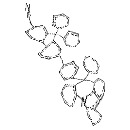 N#Cc1ccc2c(c1)C(c1ccccc1)(c1ccccc1)c1cc(-c3ccc(C4(c5ccccc5)c5ccccc5-n5c6ccccc6c6cccc4c65)cc3)ccc1-2